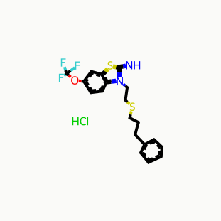 Cl.N=c1sc2cc(OC(F)(F)F)ccc2n1CCSCCCc1ccccc1